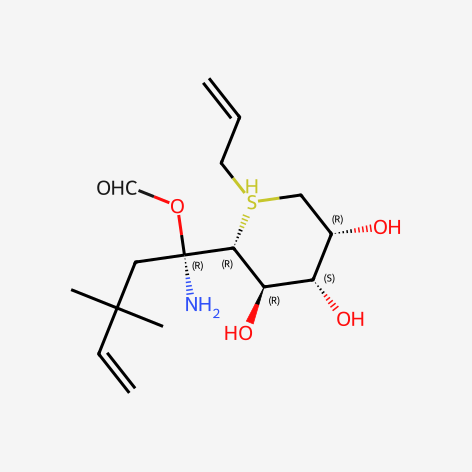 C=CC[SH]1C[C@H](O)[C@H](O)[C@@H](O)[C@@H]1[C@@](N)(CC(C)(C)C=C)OC=O